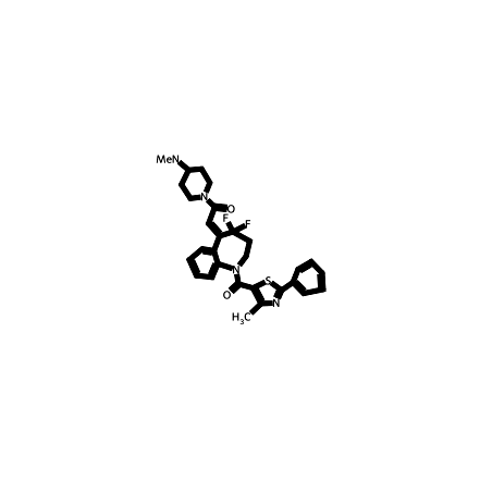 CNC1CCN(C(=O)/C=C2/c3ccccc3N(C(=O)c3sc(-c4ccccc4)nc3C)CCC2(F)F)CC1